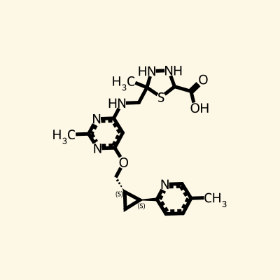 Cc1ccc([C@H]2C[C@@H]2COc2cc(NCC3(C)NNC(C(=O)O)S3)nc(C)n2)nc1